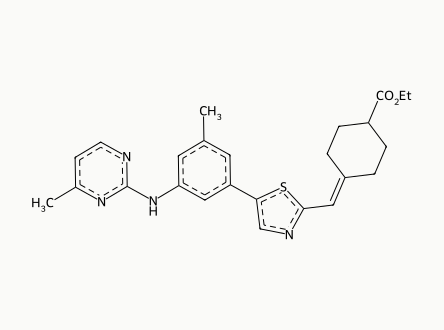 CCOC(=O)C1CCC(=Cc2ncc(-c3cc(C)cc(Nc4nccc(C)n4)c3)s2)CC1